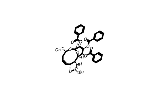 C[C@@H]1/C=C\C[C@@H](C=O)S[C@H]2O[C@H]([C@@H]1N[S@+]([O-])C(C)(C)C)[C@H](OC(=O)c1ccccc1)[C@H](OC(=O)c1ccccc1)[C@H]2OC(=O)c1ccccc1